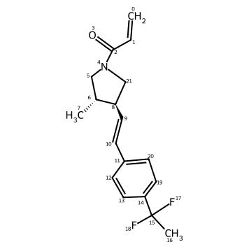 C=CC(=O)N1C[C@@H](C)[C@H](/C=C/c2ccc(C(C)(F)F)cc2)C1